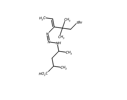 C/C=C(\N=N/NC(C)CC(C)C(=O)O)C(C)(C)CC(C)(C)C